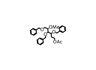 CO[C@H](COCc1ccccc1)C(OCc1ccccc1)C(CCOC(C)=O)OCc1ccccc1